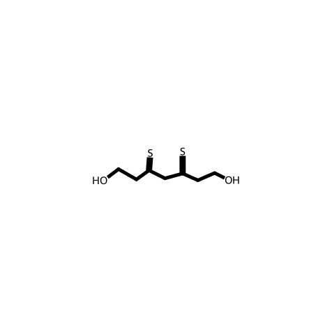 OCCC(=S)CC(=S)CCO